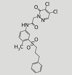 Cc1ccc(NC(=O)Cn2ncc(Cl)c(Cl)c2=O)cc1S(=O)(=O)CCCc1ccccc1